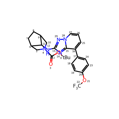 CC(C)(C)OC(=O)N1CC2CCC(C1)C2Nc1nc2c(-c3ccc(OC(F)(F)F)cc3)cccn2n1